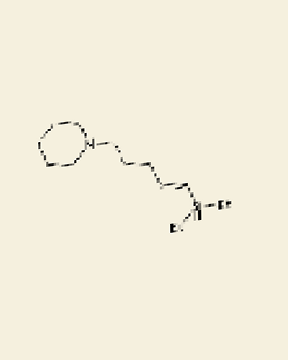 CC[SiH](C=CCCCN1CCCCC1)CC